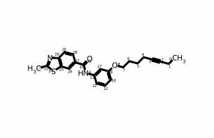 CCC#CCCCCOc1cccc(NC(=O)c2ccc3nc(C)sc3c2)c1